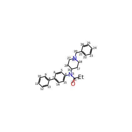 CCC(=O)N(c1ccc(-c2ccccc2)cc1)C1CCN(Cc2ccccc2)CC1